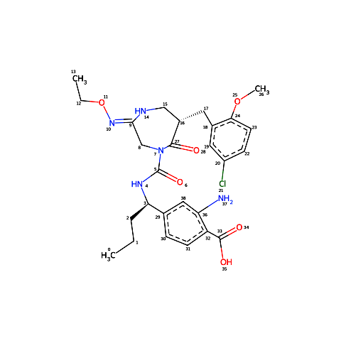 CCC[C@@H](NC(=O)N1C/C(=N/OCC)NC[C@H](Cc2cc(Cl)ccc2OC)C1=O)c1ccc(C(=O)O)c(N)c1